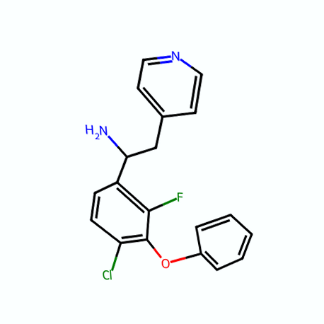 NC(Cc1ccncc1)c1ccc(Cl)c(Oc2ccccc2)c1F